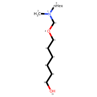 CCCCCCN(C)COCCCCCCO